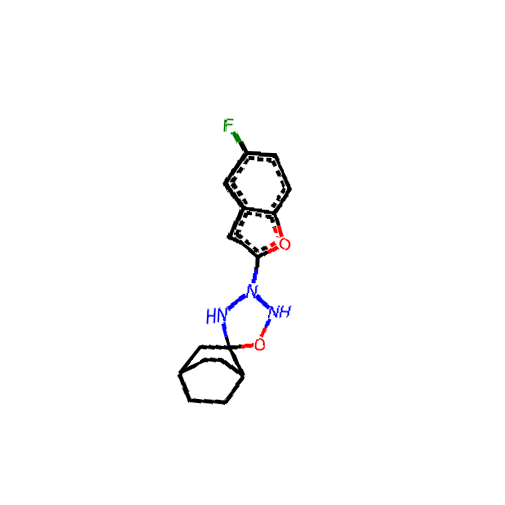 Fc1ccc2oc(N3NOC4(CC5CCC4CC5)N3)cc2c1